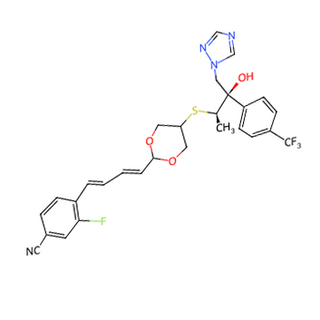 C[C@@H](SC1COC(C=CC=Cc2ccc(C#N)cc2F)OC1)[C@](O)(Cn1cncn1)c1ccc(C(F)(F)F)cc1